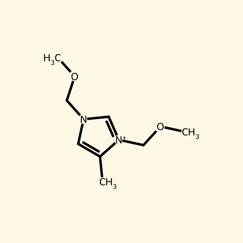 COCn1cc(C)[n+](COC)c1